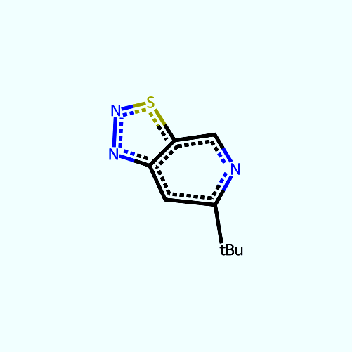 CC(C)(C)c1cc2nnsc2cn1